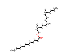 CCCCCCCCCC=CC=CC=CC=CC=CC(=O)OCCC(C)CCCC(C)CCCC(C)CCCC(C)C